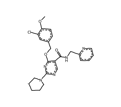 COc1ccc(COc2nc(N3C[CH]CCC3)ncc2C(=O)NCc2ccccn2)cc1Cl